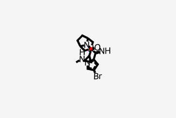 CNn1cc(Br)cc1C(=N)N1CC2CCC(C1)N2C(=O)C1CC1